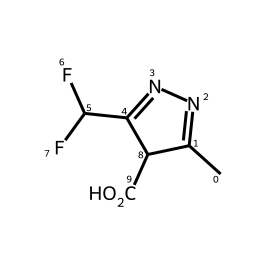 CC1=NN=C(C(F)F)C1C(=O)O